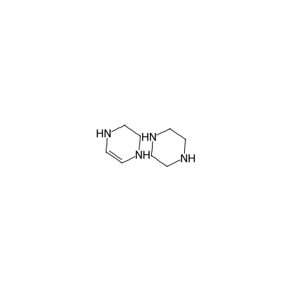 C1=CNCCN1.C1CNCCN1